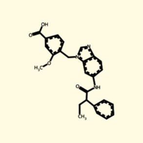 CCC(C(=O)Nc1ccc2ncn(Cc3ccc(C(=O)O)cc3OC)c2c1)c1ccccc1